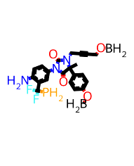 BOCC#CCN1C(=O)N(c2ccc(N)c(C(F)(F)P)c2)C(=O)C1(C)c1ccc(OB)cc1